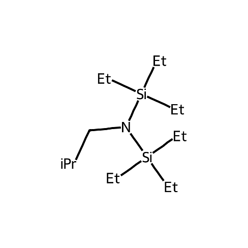 CC[Si](CC)(CC)N(CC(C)C)[Si](CC)(CC)CC